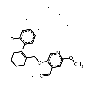 COc1cc(C=O)c(OCC2=C(c3ccccc3F)CCCC2)cn1